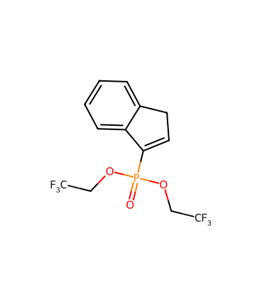 O=P(OCC(F)(F)F)(OCC(F)(F)F)C1=CCc2ccccc21